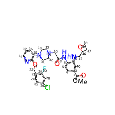 COC(=O)c1ccc(NC(=O)CN2CCN(c3cccnc3OCc3ccc(Cl)cc3F)CC2)c(NC[C@@H]2CCO2)c1